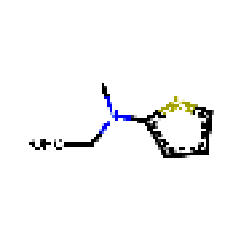 CN(C[C]=O)c1cccs1